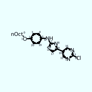 CCCCCCCCOc1ccc(Nc2nc(-c3cnc(Cl)nc3)cs2)cc1